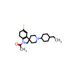 CCC1CCC(N2CCC3(CC2)CN(C(C)=O)C2=C3C=C(F)CC2)CC1